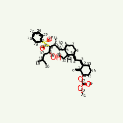 C=C1/C(=C\C=C2/CCC[C@]3(C)[C@@H]([C@H](C)C(C(O)CC(C)C)S(=O)(=O)c4ccccc4)CC[C@@H]23)CCCC1OC(=O)OC